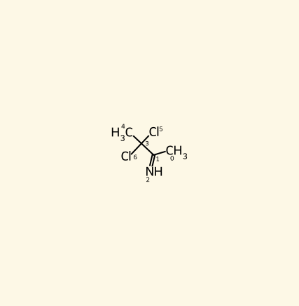 CC(=N)C(C)(Cl)Cl